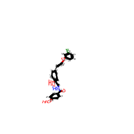 O=C(NC[C@]1(O)CC[C@H](CCOc2cccc(F)c2)CC1)c1ccc(O)cc1